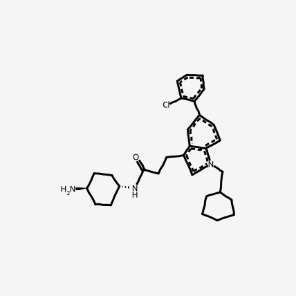 N[C@H]1CC[C@H](NC(=O)CCc2cn(CC3CCCCC3)c3ccc(-c4ccccc4Cl)cc23)CC1